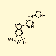 COc1cc2ncc(-c3cncc(NC4CCNC4)n3)n2cc1C(C)(O)C(F)(F)F